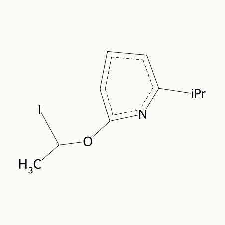 CC(I)Oc1cccc(C(C)C)n1